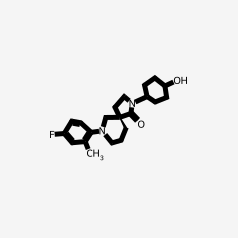 Cc1cc(F)ccc1N1CCC[C@]2(CCN(C3CCC(O)CC3)C2=O)C1